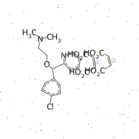 CN(C)CCOC(c1ccc(Cl)cc1)c1ccccn1.O=C(O)/C=C\C(=O)O.O=C(O)/C=C\C(=O)O